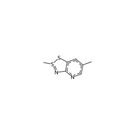 Cc1cnc2c(c1)SS(C)=N2